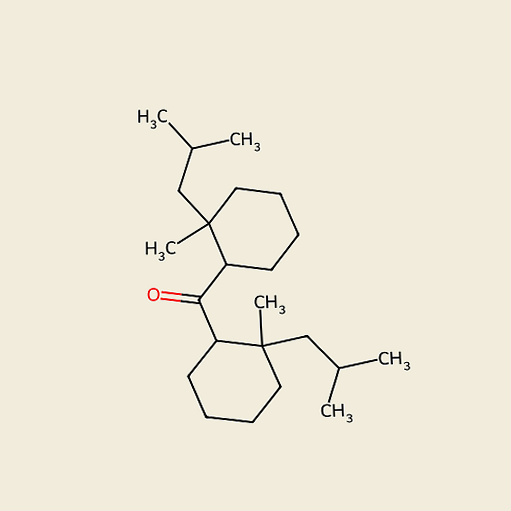 CC(C)CC1(C)CCCCC1C(=O)C1CCCCC1(C)CC(C)C